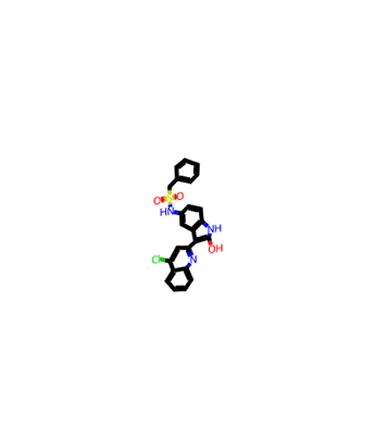 O=S(=O)(Cc1ccccc1)Nc1ccc2[nH]c(O)c(-c3cc(Cl)c4ccccc4n3)c2c1